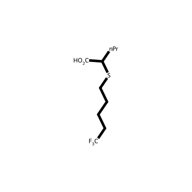 CCCC(SCCCCC(F)(F)F)C(=O)O